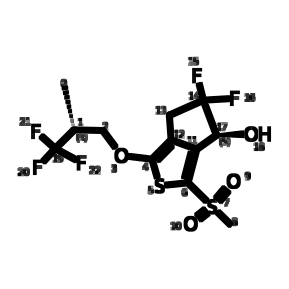 C[C@H](COc1sc(S(C)(=O)=O)c2c1CC(F)(F)[C@H]2O)C(F)(F)F